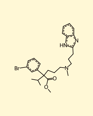 COC(=O)C(CCCN(C)CCCc1nc2ccccc2[nH]1)(c1cccc(Br)c1)C(C)C